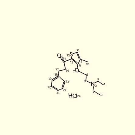 CCN(CC)CCOc1c(C)csc1C(=O)CCc1ccccc1.Cl